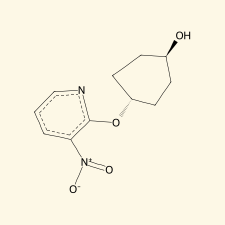 O=[N+]([O-])c1cccnc1O[C@H]1CC[C@H](O)CC1